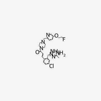 C/C(N)=N/N(N)Cc1cc(Cl)ccc1/C=C/C(=O)N1CCN(Cc2ccc(OCCF)cn2)CC1